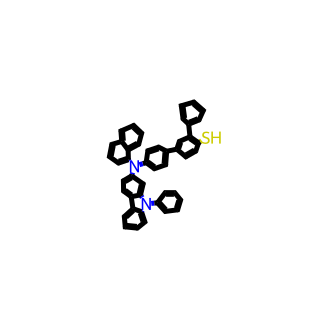 Sc1ccc(-c2ccc(N(c3ccc4c5ccccc5n(-c5ccccc5)c4c3)c3cccc4ccccc34)cc2)cc1-c1ccccc1